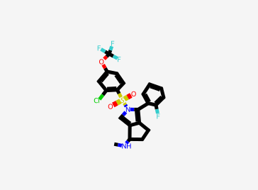 CNC1CCc2c1cn(S(=O)(=O)c1ccc(OC(F)(F)F)cc1Cl)c2-c1ccccc1F